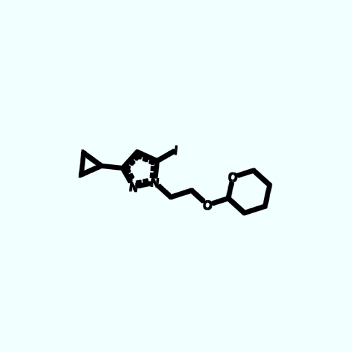 Ic1cc(C2CC2)nn1CCOC1CCCCO1